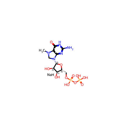 CN1CN([C@@H]2O[C@H](COP(=O)(O)OP(=O)(O)O)[C@@H](O)[C@H]2O)c2nc(N)[nH]c(=O)c21.[NaH]